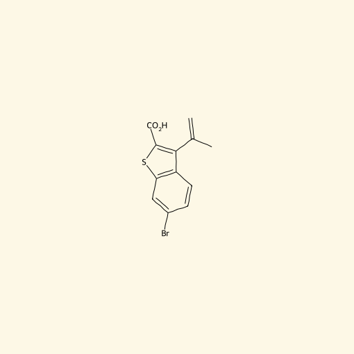 C=C(C)c1c(C(=O)O)sc2cc(Br)ccc12